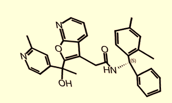 Cc1ccc([C@@H](NC(=O)Cc2c(C(C)(O)c3ccnc(C)c3)oc3ncccc23)c2ccccc2)c(C)c1